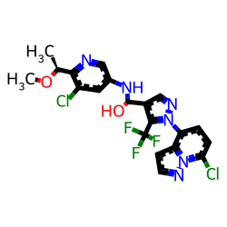 CO[C@@H](C)c1ncc(NC(O)c2cnn(-c3ccc(Cl)n4nccc34)c2C(F)(F)F)cc1Cl